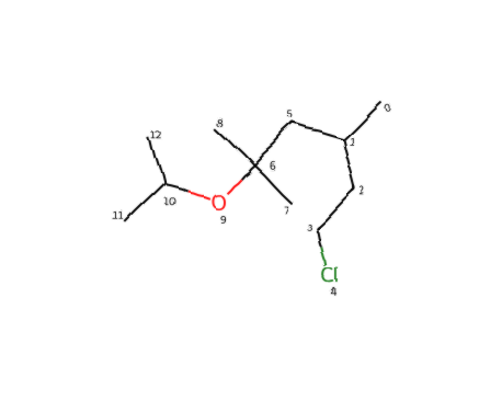 CC(CCCl)CC(C)(C)OC(C)C